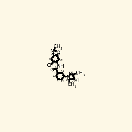 Cc1nc2cc(Cl)c(NC(=O)c3cccc(-n4nc(C)c(Cl)c4C)c3)cc2o1